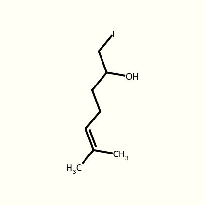 CC(C)=CCCC(O)CI